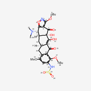 CCCCOc1noc2c1C(=O)[C@@]1(O)C(O)=C3C(=O)c4c(c(OC)cc(N[SH](=O)=O)c4OCCCC)C[C@H]3C[C@H]1[C@@H]2N(C)C